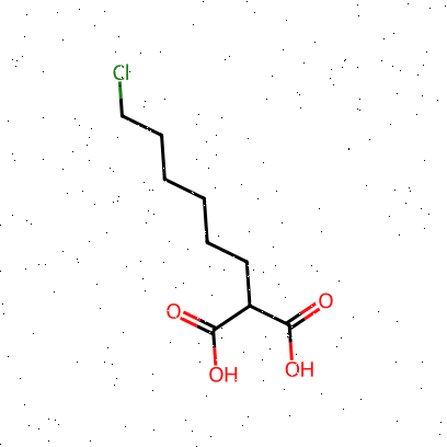 O=C(O)C(CCCCCCCl)C(=O)O